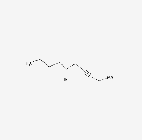 CCCCCCC#C[CH2][Mg+].[Br-]